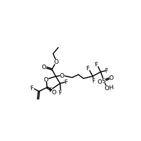 C=C(F)C(=O)OC(OCCCC(F)(F)C(F)(F)S(=O)(=O)O)(C(=O)OCC)C(F)(F)F